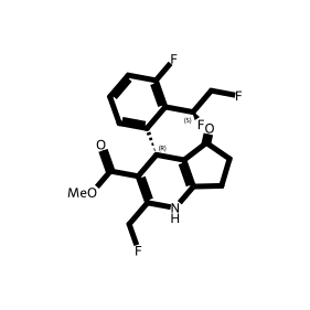 COC(=O)C1=C(CF)NC2=C(C(=O)CC2)[C@H]1c1cccc(F)c1[C@H](F)CF